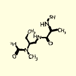 [2H]C(=O)N(C)C(CC)CNC(=O)C(C)NS